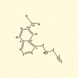 C#CCOCc1cccc2ccc(C(C)C)cc12